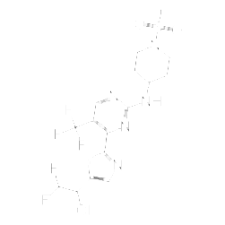 CS(=O)(=O)N1CCC(Nc2ncc(C(F)(F)F)c(-c3ncc(C(O)C(F)F)s3)n2)CC1